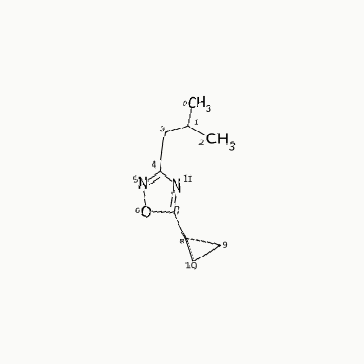 CC(C)Cc1noc(C2CC2)n1